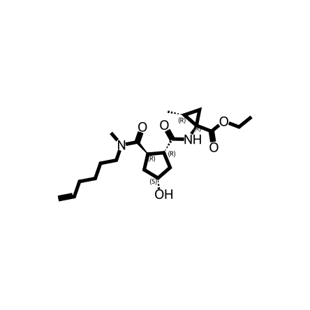 C=CCCCCN(C)C(=O)[C@@H]1C[C@@H](O)C[C@H]1C(=O)N[C@]1(C(=O)OCC)C[C@H]1C